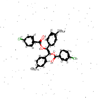 CC(C)(C)c1ccc(/C(OC(=O)c2ccc(Cl)cc2)=C(\OC(=O)c2ccc(Cl)cc2)c2ccc(C(C)(C)C)cc2)cc1